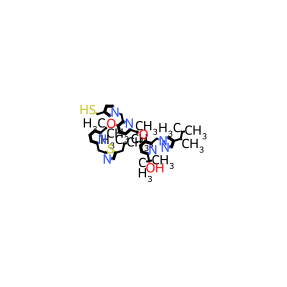 CC(C)Cc1cnc(Cc2cccc(C(C)(C)Oc3ccc(C(C)(C)Oc4ccc(C(C)(C)O)nc4Cn4cc(C(C)C(C)C)cn4)nc3Cn3ccc(CS)c3)n2)s1